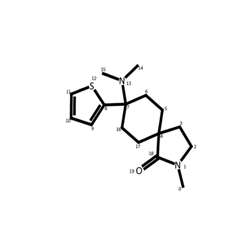 CN1CCC2(CCC(c3cccs3)(N(C)C)CC2)C1=O